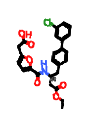 CCOC(=O)C[C@@H](Cc1ccc(-c2cccc(Cl)c2)cc1)NC(=O)c1ccc(CC(=O)O)o1